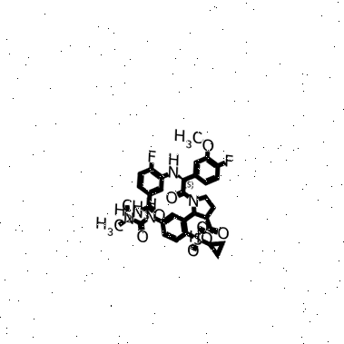 COc1cc([C@H](Nc2cc(C(N)=O)ccc2F)C(=O)N2CCC(C(=O)O)C2c2cc(NC(=O)N(C)C)ccc2S(=O)(=O)C2CC2)ccc1F